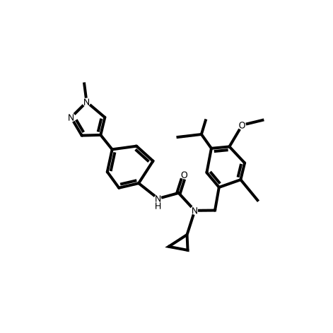 COc1cc(C)c(CN(C(=O)Nc2ccc(-c3cnn(C)c3)cc2)C2CC2)cc1C(C)C